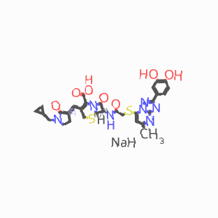 Cc1cc(SCC(=O)N[C@@H]2C(=O)N3C(C(=O)O)=C(/C=C4\CCN(CC5CC5)C4=O)CS[C@H]23)n2nc(-c3ccc(O)c(O)c3)nc2n1.[NaH]